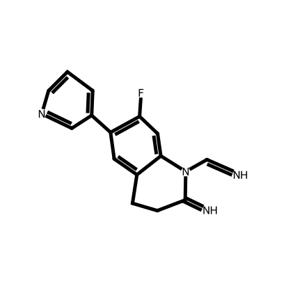 N=CN1C(=N)CCc2cc(-c3cccnc3)c(F)cc21